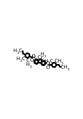 CCCC1CCC(C(=O)Oc2ccc3c(c2)C(C)(C)c2cc(OC(=O)C4CCC(CCC)C(C)C4C)ccc2-3)C(C)C1C